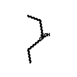 CCCCCCCC/C=C\CCCCCCCCCOCC(CO)OCCCCCCCC/C=C\CCCCCCCC